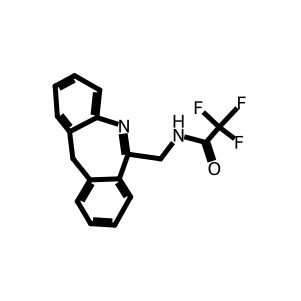 O=C(NCC1=Nc2ccccc2Cc2ccccc21)C(F)(F)F